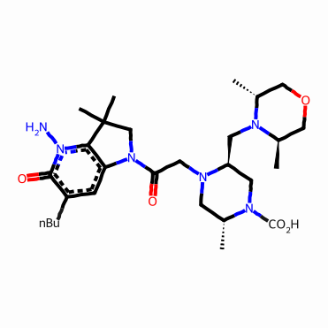 CCCCc1cc2c(n(N)c1=O)C(C)(C)CN2C(=O)CN1C[C@@H](C)N(C(=O)O)C[C@@H]1CN1[C@H](C)COC[C@H]1C